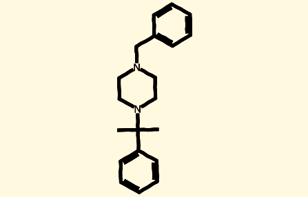 CC(C)(c1ccccc1)N1CCN(Cc2ccccc2)CC1